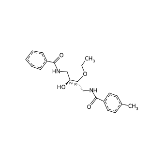 CCO[C@H](CNC(=O)c1ccc(C)cc1)[C@@H](O)CNC(=O)c1ccccc1